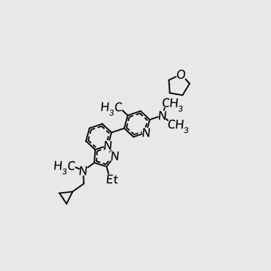 C1CCOC1.CCc1nn2c(-c3cnc(N(C)C)cc3C)cccc2c1N(C)CC1CC1